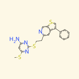 CSc1cc(N)nc(SCCc2cc3c(-c4ccccc4)csc3cn2)n1